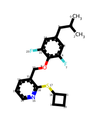 CC(C)Cc1cc(F)c(OCc2cccnc2SC2CCC2)c(F)c1